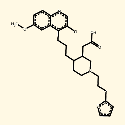 COc1ccc2ncc(Cl)c(CCCC3CCN(CCSc4cccs4)CC3CC(=O)O)c2c1